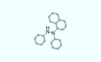 c1ccc(NN(c2ccccc2)c2cccc3ccccc23)cc1